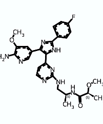 COc1cc(-c2nc(-c3ccc(F)cc3)[nH]c2-c2ccnc(NC[C@H](C)NC(=O)[C@H](C)OC)n2)cnc1N